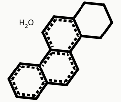 O.c1ccc2c(c1)ccc1c3c(ccc12)CCCC3